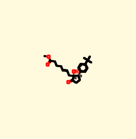 COC(=O)CCCC=CC[C@]1(O)C(=O)CC[C@H]1c1ccc(C(C)(C)C)cc1